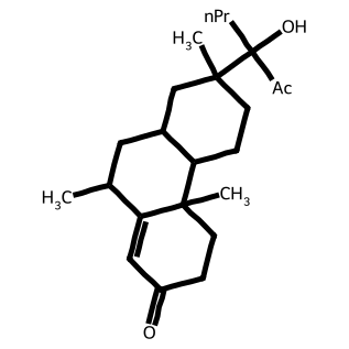 CCCC(O)(C(C)=O)C1(C)CCC2C(CC(C)C3=CC(=O)CCC32C)C1